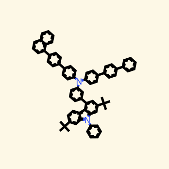 CC(C)(C)c1ccc2c3c(-c4cccc(N(c5ccc(-c6ccc(-c7ccccc7)cc6)cc5)c5ccc(-c6ccc(-c7cccc8ccccc78)cc6)cc5)c4)cc(C(C)(C)C)cc3n(-c3ccccc3)c2c1